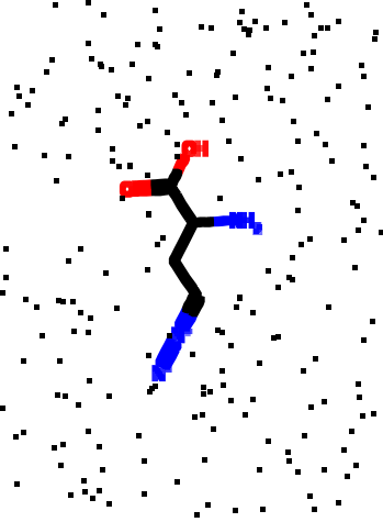 [N-]=[N+]=CCC(N)C(=O)O